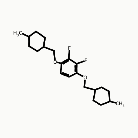 CC1CCC(COc2ccc(OCC3CCC(C)CC3)c(F)c2F)CC1